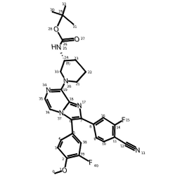 COc1ccc(-c2c(-c3ccc(C#N)c(F)c3)nc3c(N4CCC[C@@H](NC(=O)OC(C)(C)C)C4)nccn23)cc1F